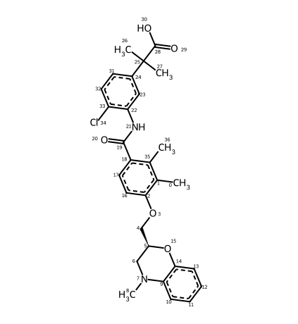 Cc1c(OC[C@@H]2CN(C)c3ccccc3O2)ccc(C(=O)Nc2cc(C(C)(C)C(=O)O)ccc2Cl)c1C